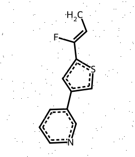 [CH2]/C=C(\F)c1cc(-c2cccnc2)cs1